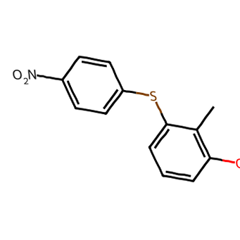 Cc1c(O)cccc1Sc1ccc([N+](=O)[O-])cc1